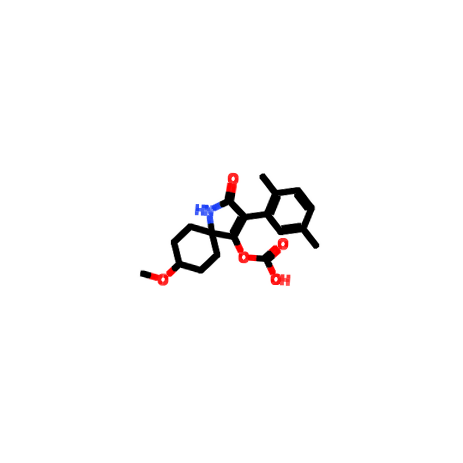 COC1CCC2(CC1)NC(=O)C(c1cc(C)ccc1C)=C2OC(=O)O